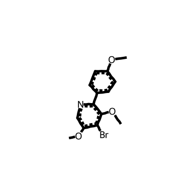 COc1ccc(-c2ncc(OC)c(Br)c2OC)cc1